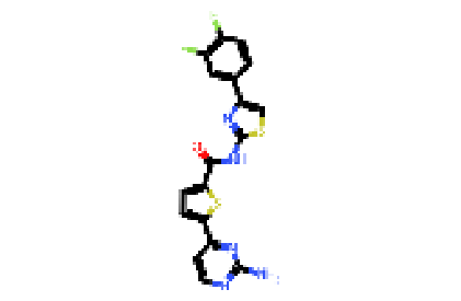 Nc1nccc(-c2ccc(C(=O)Nc3nc(-c4ccc(F)c(F)c4)cs3)s2)n1